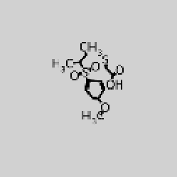 CCC(C)S(=O)(=O)c1ccc(OC)cc1.O=C(O)C=S